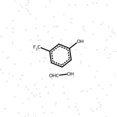 O=CO.Oc1cccc(C(F)(F)F)c1